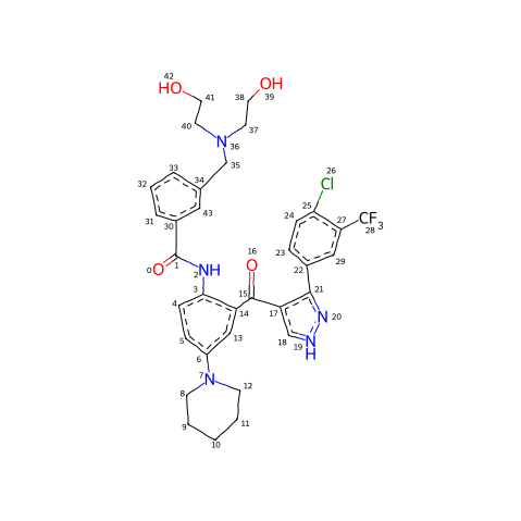 O=C(Nc1ccc(N2CCCCC2)cc1C(=O)c1c[nH]nc1-c1ccc(Cl)c(C(F)(F)F)c1)c1cccc(CN(CCO)CCO)c1